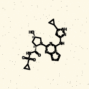 O=C(NS(=O)(=O)C1CC1)[C@@H]1C[C@H](O)CN1c1nc(Nc2cc(C3CC3)[nH]n2)n2cccc2n1